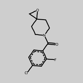 O=C(c1ccc(Cl)cc1F)N1CCC2(CC1)CO2